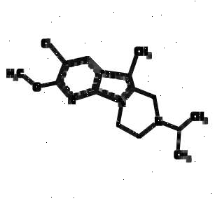 COc1nc2c(cc1Cl)c(C)c1n2CCN(C(C)C)C1